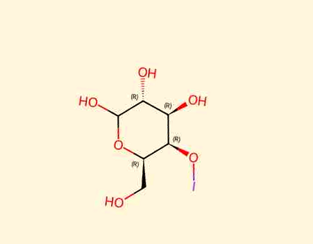 OC[C@H]1OC(O)[C@H](O)[C@@H](O)[C@H]1OI